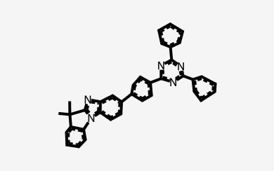 CC1(C)c2ccccc2-n2c1nc1cc(-c3ccc(-c4nc(-c5ccccc5)nc(-c5ccccc5)n4)cc3)ccc12